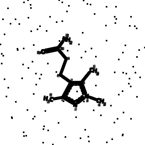 Cc1nn(C)c(C)c1CCC(N)=O